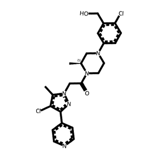 Cc1c(Cl)c(-c2ccncc2)nn1CC(=O)N1CCN(c2ccc(Cl)c(CO)c2)C[C@@H]1C